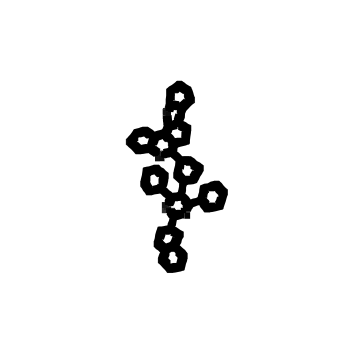 c1ccc(-c2nc(-c3ccc4ccccc4c3)nc(-c3ccccc3)c2-c2cccc(-c3nc4ccccc4c4c3ccc3c5ccccc5sc34)c2)cc1